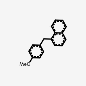 COc1ccc(Cc2cccc3ccc[c]c23)cc1